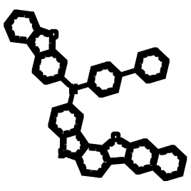 c1ccc(-c2ccc(N(c3ccc4c(c3)oc3ccccc34)c3ccc4sc5ccc6c7cc8ccccc8cc7oc6c5c4c3)cc2)cc1